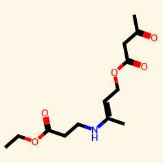 CCOC(=O)CCNC(C)=CCOC(=O)CC(C)=O